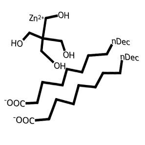 CCCCCCCCCCCCCCCCCC(=O)[O-].CCCCCCCCCCCCCCCCCC(=O)[O-].OCC(CO)(CO)CO.[Zn+2]